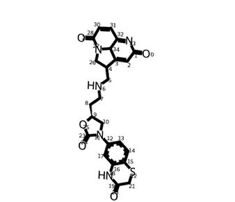 O=C1C=C2C(CNCC[C@H]3CN(c4ccc5c(c4)NC(=O)CS5)C(=O)O3)CN3C(=O)C=CC(=N1)C23